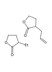 C=CCC1CCOC1=O.CCC1CCOC1=O